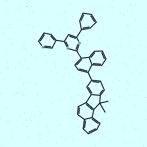 CC1(C)c2ccc(-c3ccc(-c4nc(-c5ccccc5)cc(-c5cccnc5)n4)c4ccccc34)cc2-c2ccc3ccccc3c21